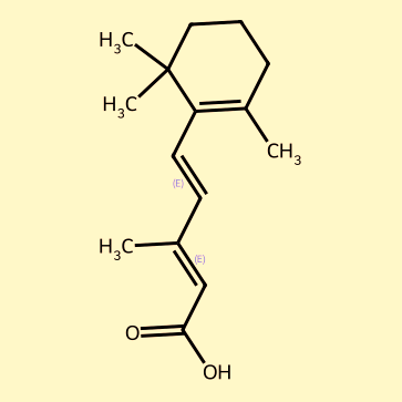 CC1=C(/C=C/C(C)=C/C(=O)O)C(C)(C)CCC1